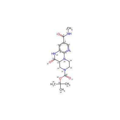 CNC(=O)c1cnc2c(c1)NC(=O)C1CN(C(=O)OC(C)(C)C)CCN21